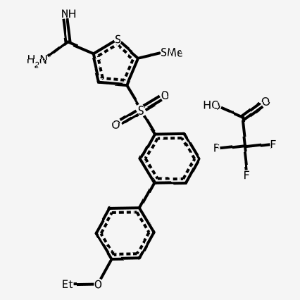 CCOc1ccc(-c2cccc(S(=O)(=O)c3cc(C(=N)N)sc3SC)c2)cc1.O=C(O)C(F)(F)F